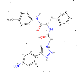 COc1ccc(N(C)C(=O)[C@H](Cc2ccccc2)NC(=O)Cn2cc(-c3ccc(N)cc3)nn2)cc1